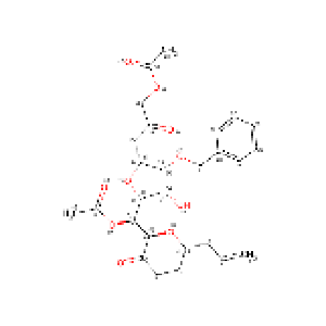 C=CC[C@@H]1CCC(=O)[C@@H]([C@@H](OC(C)=O)[C@@H]2O[C@H](CC(=O)COC(C)=O)[C@H](OCc3ccccc3)[C@@H]2O)O1